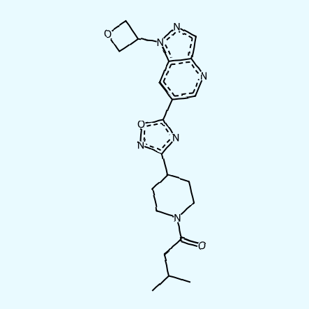 CC(C)CC(=O)N1CCC(c2noc(-c3cnc4cnn(C5COC5)c4c3)n2)CC1